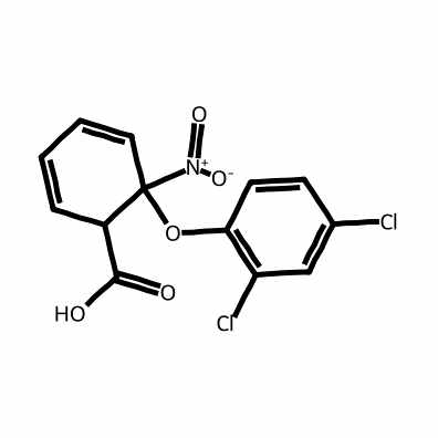 O=C(O)C1C=CC=CC1(Oc1ccc(Cl)cc1Cl)[N+](=O)[O-]